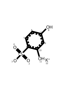 O=S(=O)([O-])c1ccc(O)cc1O.[K+]